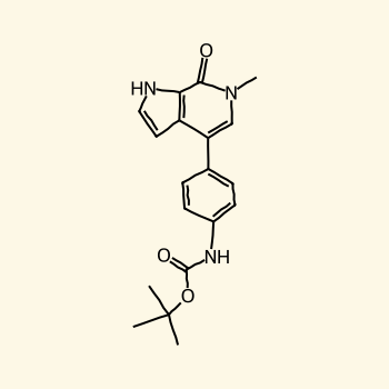 Cn1cc(-c2ccc(NC(=O)OC(C)(C)C)cc2)c2cc[nH]c2c1=O